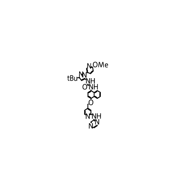 COc1ccc(-n2nc(C(C)(C)C)cc2NC(=O)Nc2ccc(OCc3ccnc(Nc4cnccn4)c3)c3ccccc23)cn1